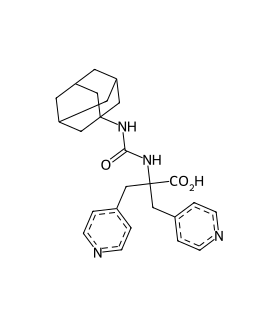 O=C(NC12CC3CC(CC(C3)C1)C2)NC(Cc1ccncc1)(Cc1ccncc1)C(=O)O